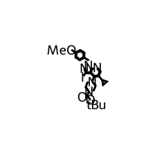 COc1ccc(Cn2nc(I)c3c(N4CCN(C(=O)OC(C)(C)C)CC4)c(C4CC4)cnc32)cc1